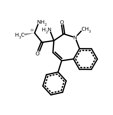 C[C@H](N)C(=O)C1(N)C=C(c2ccccc2)c2ccccc2N(C)C1=O